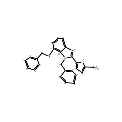 O=[N+]([O-])c1ccc(-c2nc3cccc(OCc4ccccc4)c3n2Cc2ccccc2)o1